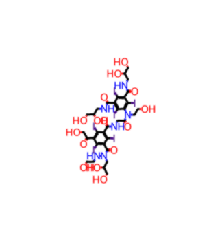 O=C(CO)c1c(I)c(C(=O)NCC(=O)N(CCO)c2c(I)c(C(=O)NCC(O)CO)c(I)c(C(=O)NCC(O)CO)c2I)c(I)c(C(=O)N(CC(O)CO)NCCO)c1I